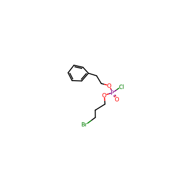 O=P(Cl)(OCCCBr)OCCc1ccccc1